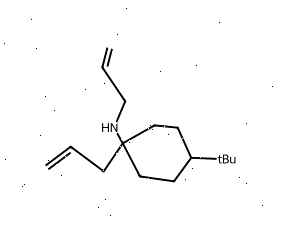 C=CCNC1(CC=C)CCC(C(C)(C)C)CC1